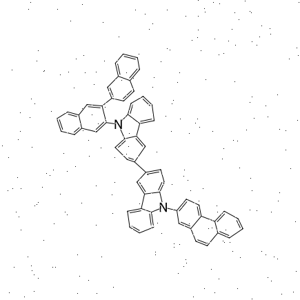 c1ccc2cc(-c3cc4ccccc4cc3-n3c4ccccc4c4cc(-c5ccc6c(c5)c5ccccc5n6-c5ccc6c(ccc7ccccc76)c5)ccc43)ccc2c1